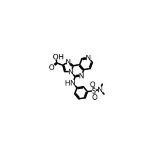 CN(C)S(=O)(=O)c1cccc(Nc2nc3ccncc3c3nc(C(=O)O)cn23)c1